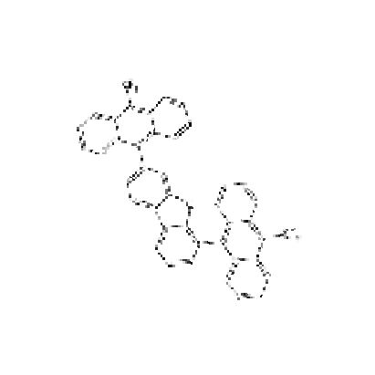 FC(F)(F)c1c2ccccc2c(-c2ccc3c(c2)oc2c(-c4c5ccccc5c(C(F)(F)F)c5ccccc45)cccc23)c2ccccc12